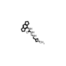 CN1CC(CNSNC(=O)Nc2c3c(cc4c2CCC4)CCC3)C1